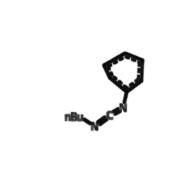 CCCCN=C=Nc1ccccc1